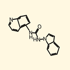 O=C(Nc1cccc2ncccc12)Nn1ccc2ccccc21